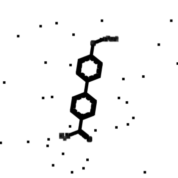 CCCCCOc1ccc(-c2ccc(C(N)=O)cc2)cc1